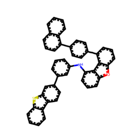 c1cc(Nc2cccc3oc4cccc(-c5ccc(-c6cccc7ccccc67)cc5)c4c23)cc(-c2ccc3c(c2)sc2ccccc23)c1